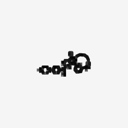 CN1CCN(c2ccc(Nc3ncc4c(=O)n5n(c4n3)-c3cccc(n3)C(C)(C)OCC/C=C\C5)cc2)CC1